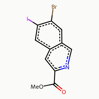 COC(=O)c1cc2cc(I)c(Br)cc2cn1